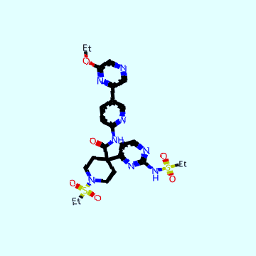 CCOc1cncc(-c2ccc(NC(=O)C3(c4ccnc(NS(=O)(=O)CC)n4)CCN(S(=O)(=O)CC)CC3)nc2)n1